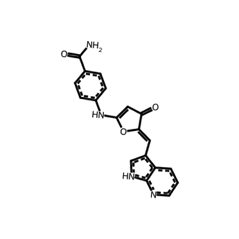 NC(=O)c1ccc(NC2=CC(=O)C(=Cc3c[nH]c4ncccc34)O2)cc1